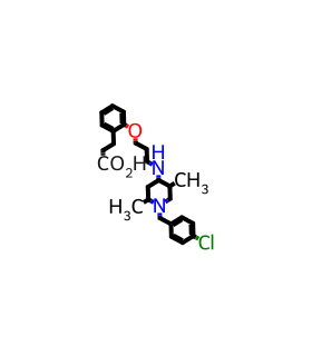 CC1CN(Cc2ccc(Cl)cc2)C(C)CC1NCCCOc1ccccc1CCC(=O)O